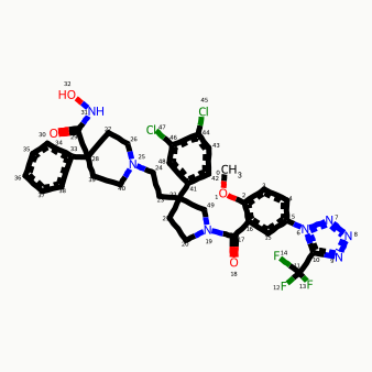 COc1ccc(-n2nnnc2C(F)(F)F)cc1C(=O)N1CCC(CCN2CCC(C(=O)NO)(c3ccccc3)CC2)(c2ccc(Cl)c(Cl)c2)C1